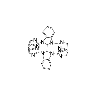 c1cnc(N2c3ccccc3N(c3ncccn3)C2C2N(c3ncccn3)c3ccccc3N2c2ncccn2)nc1